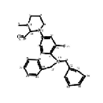 CN1CCCN(c2ccc(N(Cc3ccccc3)Cc3ccccc3)c(F)c2)C1C=O